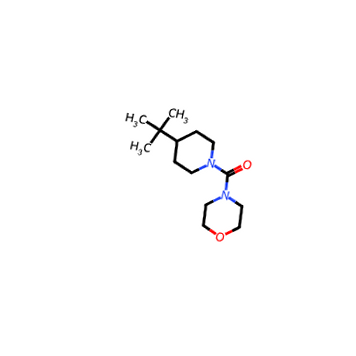 CC(C)(C)C1CCN(C(=O)N2CCOCC2)CC1